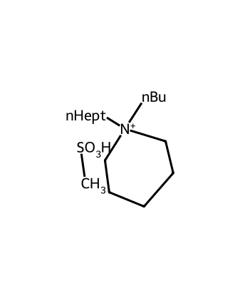 CCCCCCC[N+]1(CCCC)CCCCC1.CS(=O)(=O)O